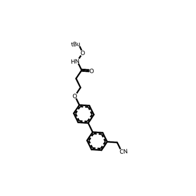 CC(C)(C)ONC(=O)CCOc1ccc(-c2cccc(CC#N)c2)cc1